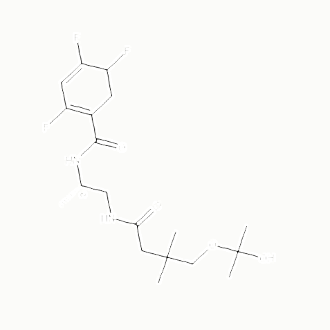 C[C@@H](CNC(=O)CC(C)(C)COC(C)(C)O)NC(=O)C1=C(F)C=C(F)C(F)C1